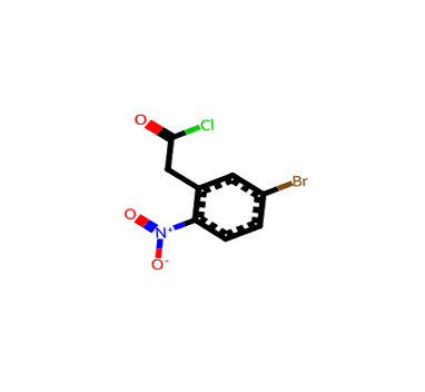 O=C(Cl)Cc1cc(Br)ccc1[N+](=O)[O-]